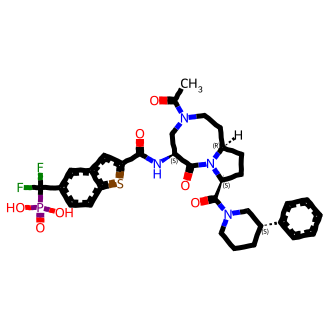 CC(=O)N1CC[C@H]2CC[C@@H](C(=O)N3CCC[C@@H](c4ccccc4)C3)N2C(=O)[C@@H](NC(=O)c2cc3cc(C(F)(F)P(=O)(O)O)ccc3s2)C1